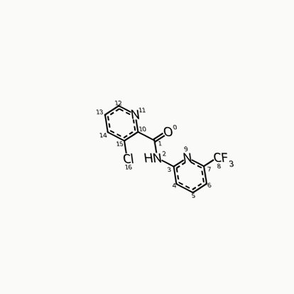 O=C(Nc1cccc(C(F)(F)F)n1)c1ncccc1Cl